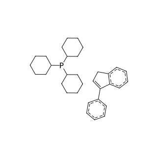 C1=C(c2ccccc2)c2ccccc2C1.C1CCC(P(C2CCCCC2)C2CCCCC2)CC1